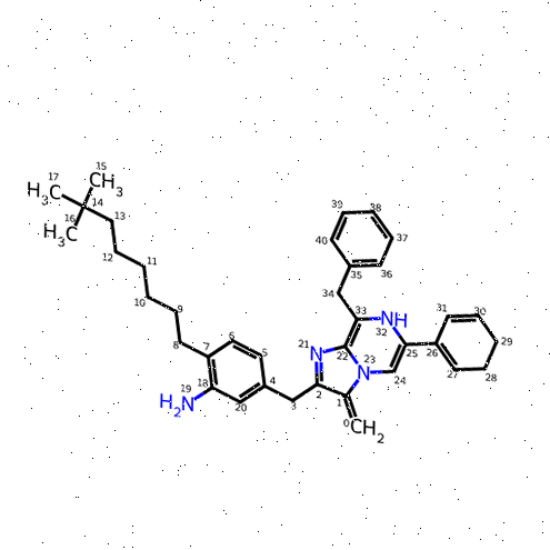 C=c1c(Cc2ccc(CCCCCCC(C)(C)C)c(N)c2)nc2n1C=C(C1=CCCC=C1)NC=2Cc1ccccc1